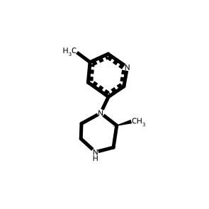 Cc1cncc(N2CCNC[C@@H]2C)c1